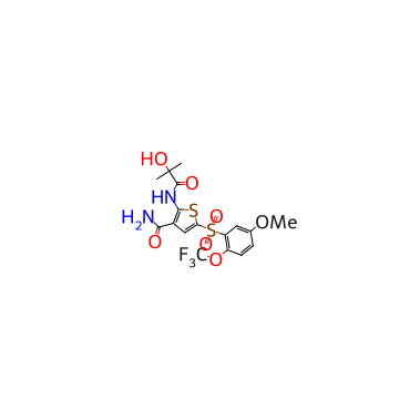 COc1ccc(OC(F)(F)F)c(S(=O)(=O)c2cc(C(N)=O)c(NC(=O)C(C)(C)O)s2)c1